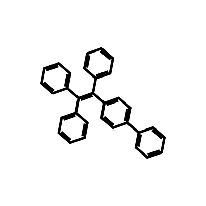 [c]1cc(C(=C(c2ccccc2)c2ccccc2)c2ccccc2)ccc1-c1ccccc1